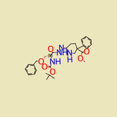 COC(=O)C1(c2ccccc2)CC/C(=N/NC(=O)[C@@H](COCc2ccccc2)NC(=O)OC(C)(C)C)NC1